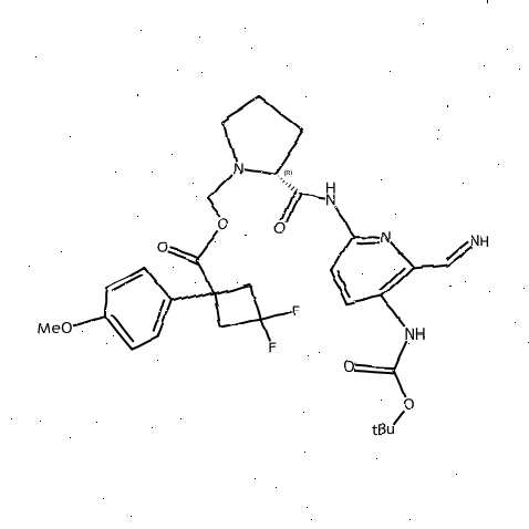 COc1ccc(C2(C(=O)OCN3CCC[C@@H]3C(=O)Nc3ccc(NC(=O)OC(C)(C)C)c(C=N)n3)CC(F)(F)C2)cc1